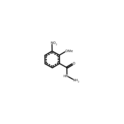 COc1c(C(=O)NN)cccc1[N+](=O)[O-]